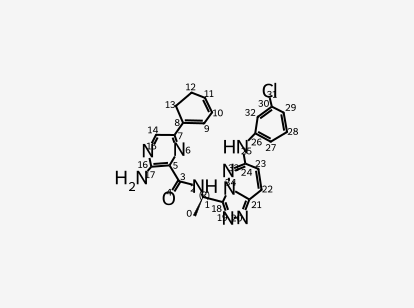 C[C@@H](NC(=O)c1nc(C2=CC=CCC2)cnc1N)c1nnc2ccc(Nc3cccc(Cl)c3)nn12